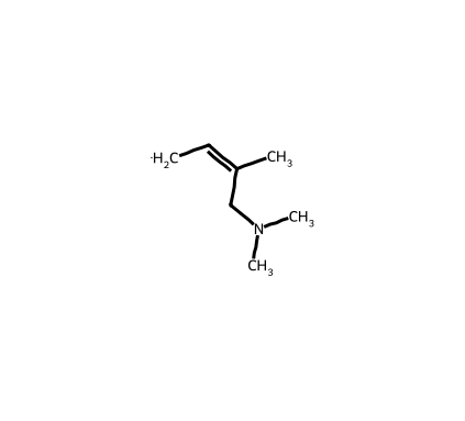 [CH2]C=C(C)CN(C)C